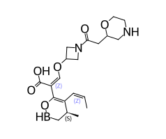 C/C=C\C1=C(C(=C/OC2CN(C(=O)CC3CNCCO3)C2)/C(=O)O)OBC[C@@H]1C